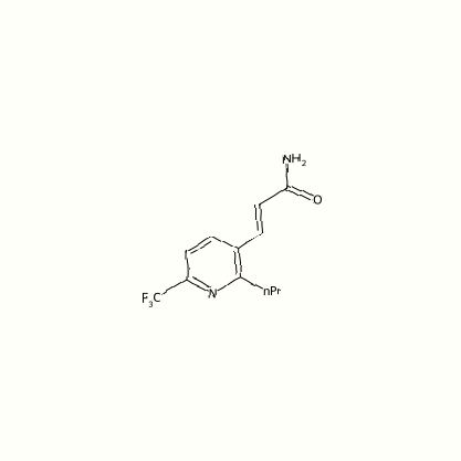 CCCc1nc(C(F)(F)F)ccc1C=CC(N)=O